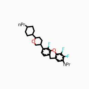 CCCc1cc2c(c(F)c1F)Oc1c(ccc(C3CCC(C4CCC(CCC)CC4)OC3)c1F)C2